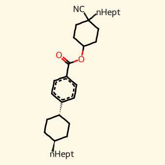 CCCCCCCC1(C#N)CCC(OC(=O)c2ccc([C@H]3CC[C@H](CCCCCCC)CC3)cc2)CC1